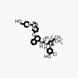 CC(C)(C)c1cc(NC(=O)N[C@H]2CC[C@@H](Oc3ccc4nnc(N5CCC(CO)CC5)n4c3)c3ccccc32)n(-c2ccc(O)c(Cl)c2)n1